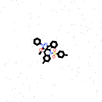 C=C[C@H]1c2cc(C)ccc2N(S(=O)(=O)c2ccc(C)cc2)[C@@H](c2ccccc2)[C@]12C(=O)N(c1ccccc1)N=C2C